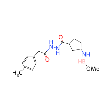 COBNC1CCC(C(=O)NNC(=O)Cc2ccc(C)cc2)C1